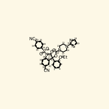 CCOc1ccccc1C1(OC(=O)N2CCN(c3nccs3)CC2)C(=O)N(S(=O)(=O)c2ccc(C#N)cc2)c2ccc(C#N)cc21